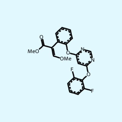 CO/C=C(/C(=O)OC)c1ccccc1Oc1cc(Oc2c(F)cccc2F)ncn1